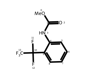 [CH2]OC(=O)Nc1ccccc1C(F)(F)C(F)(F)F